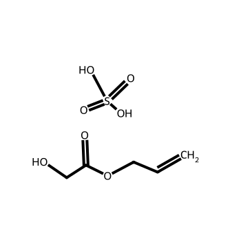 C=CCOC(=O)CO.O=S(=O)(O)O